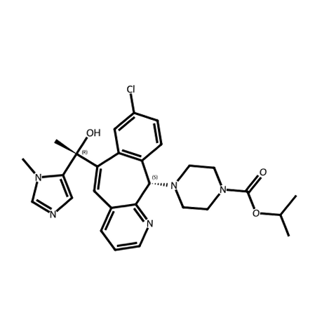 CC(C)OC(=O)N1CCN([C@H]2c3ccc(Cl)cc3C([C@@](C)(O)c3cncn3C)=Cc3cccnc32)CC1